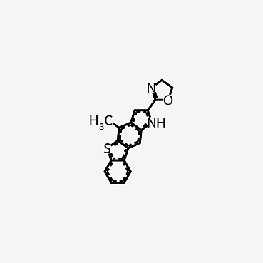 Cc1c2cc(C3=NCCO3)[nH]c2cc2c1sc1ccccc12